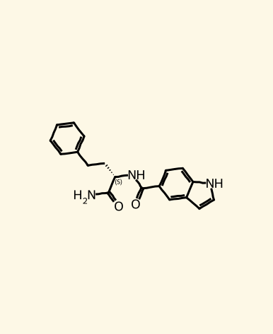 NC(=O)[C@H](CCc1ccccc1)NC(=O)c1ccc2[nH]ccc2c1